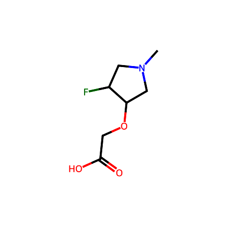 CN1CC(F)C(OCC(=O)O)C1